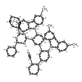 Cc1ccc2c(c1)c1cc(C)ccc1n2-c1ccc(-c2ccccc2C#N)cc1-c1ccc(-n2c3ccc(C)cc3c3cc(C)ccc32)c(-c2nc(-c3ccccc3)nc(-c3ccccc3)n2)c1